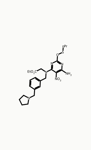 CCCSOc1nc(N)c([N+](=O)[O-])c(N(CC(=O)OCC)Cc2cccc(CN3CCCC3)c2)n1